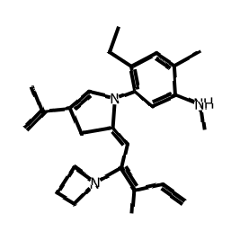 C=C/C(C)=C(\C=C1/CC(C(=C)C)=CN1c1cc(NC)c(C)cc1CC)N1CCC1